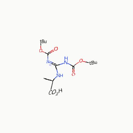 CC(N/C(=N/C(=O)OC(C)(C)C)NC(=O)OC(C)(C)C)C(=O)O